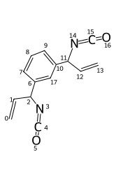 C=CC(N=C=O)c1cccc(C(C=C)N=C=O)c1